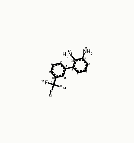 Nc1cccc(-c2cccc(C(F)(F)F)c2)c1N